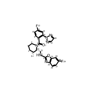 C[C@@H]1CCCN(C(=O)c2ccc(F)cc2-n2nccn2)[C@@H]1CNc1nc2ccc(F)cc2o1